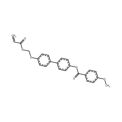 C=CC(=O)OCOc1ccc(-c2ccc(OC(=O)c3ccc(OC)cc3)cc2)cc1